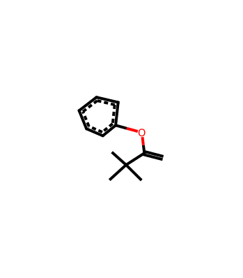 C=C(Oc1ccccc1)C(C)(C)C